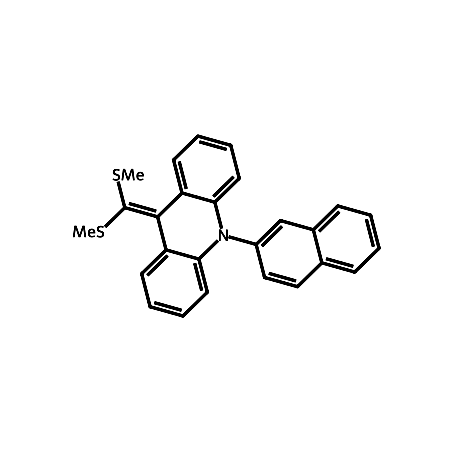 CSC(SC)=C1c2ccccc2N(c2ccc3ccccc3c2)c2ccccc21